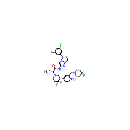 C[C@@H](C(=O)Nc1cn2c(n1)CC[C@@H]2c1cc(F)cc(F)c1)N1CCC(F)(F)[C@@H](c2cc[n+]([O-])c(CN3CCC(F)(F)CC3)c2)C1